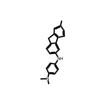 Cc1ccc2c(c1)Cc1ccc(Nc3ccc(N(C)C)cc3)cc1-2